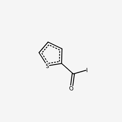 O=C(I)c1cccs1